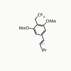 COc1cc(/C=C/C(C)C)cc(OC)c1CC(F)(F)F